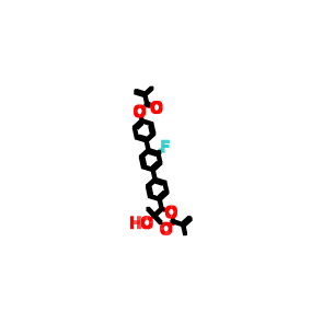 C=C(C)C(=O)Oc1ccc(-c2ccc(-c3ccc(C(OC(=O)C(=C)C)C(C)(C)O)cc3)cc2F)cc1